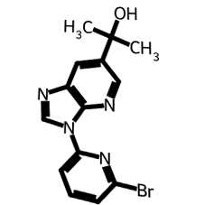 CC(C)(O)c1cnc2c(c1)ncn2-c1cccc(Br)n1